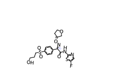 O=C(Nc1ncc(F)s1)/C(=N/O[C@@H]1CCOC1)c1ccc(S(=O)(=O)CCCO)cc1